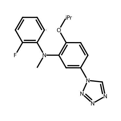 CC(C)Oc1ccc(-n2cnnn2)cc1N(C)c1[c]cccc1F